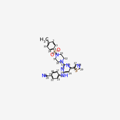 Cc1ccc(S(=O)(=O)N2CCN(c3nc(Nc4ccc(C#N)cc4)cc(-c4cncs4)n3)CC2)cc1